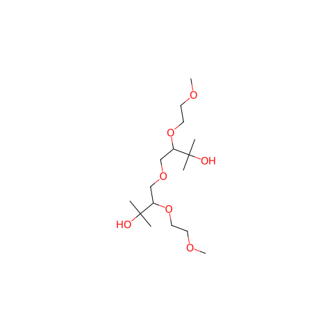 COCCOC(COCC(OCCOC)C(C)(C)O)C(C)(C)O